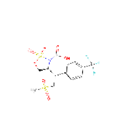 CS(=O)(=O)C[C@@H](c1ccc(C(F)(F)F)cc1)[C@H]1COS(=O)(=O)N1C(=O)O